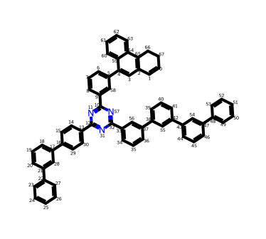 C1=Cc2cc(-c3cccc(-c4nc(-c5ccc(-c6cccc(-c7ccccc7)c6)cc5)nc(-c5cccc(-c6cccc(-c7cccc(-c8ccccc8)c7)c6)c5)n4)c3)c3ccccc3c2CC1